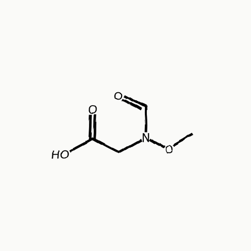 CON(C=O)CC(=O)O